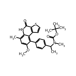 COc1cc(C)c2[nH]c(=O)c3sccc3c2c1-c1ccc(C(C)N(C)C(=O)OC(C)(C)C)cc1